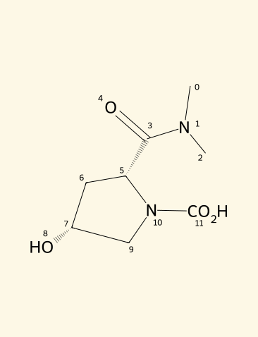 CN(C)C(=O)[C@H]1C[C@@H](O)CN1C(=O)O